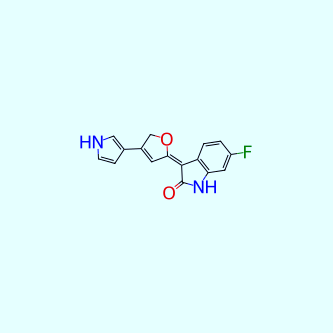 O=C1Nc2cc(F)ccc2C1=C1C=C(c2cc[nH]c2)CO1